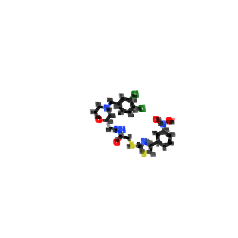 O=C(CSc1nc(-c2cccc([N+](=O)[O-])c2)cs1)NC[C@H]1CN(Cc2ccc(Cl)c(Cl)c2)CCO1